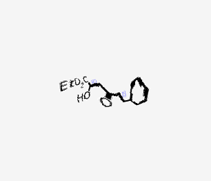 CCOC(=O)/C(O)=C/C(=O)/C=C/c1ccccc1